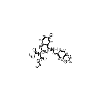 CCOC(=O)N(C(=O)OC)c1nc(NCc2ccc3c(c2)OCO3)c2cc(Cl)ccc2n1